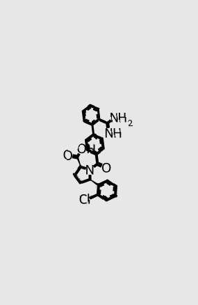 N=C(N)c1ccccc1-c1ccc(C(=O)N2[C@@H](c3ccccc3Cl)CC[C@H]2C(=O)O)cc1